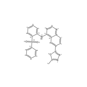 Cc1nnc(-c2ccc3ncnc(Nc4ccccc4S(=O)(=O)c4ccccc4)c3c2)o1